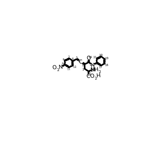 NC(CC(=C=Cc1ccc([N+](=O)[O-])cc1)C(=O)Nc1ccccc1)C(=O)O